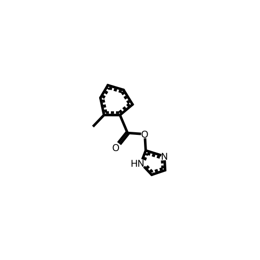 Cc1ccccc1C(=O)Oc1ncc[nH]1